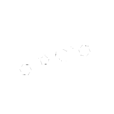 O=C(N[C@H]1CCc2ccc(Cl)cc2NC1=O)c1cc(Cc2ccccc2)n[nH]1